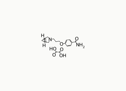 NC(=O)c1ccc(OCCCN2C[C@H]3C[C@H]3C2)cc1.O=C(O)C(=O)O